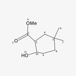 COC(=O)C1CC(C)(C)CCC1O